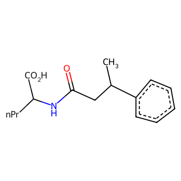 CCCC(NC(=O)CC(C)c1ccccc1)C(=O)O